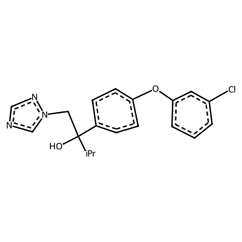 CC(C)C(O)(Cn1cncn1)c1ccc(Oc2cccc(Cl)c2)cc1